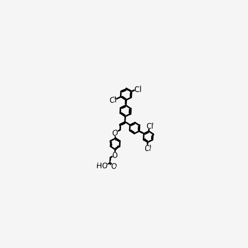 O=C(O)COc1ccc(OCC=C(c2ccc(-c3cc(Cl)ccc3Cl)cc2)c2ccc(-c3cc(Cl)ccc3Cl)cc2)cc1